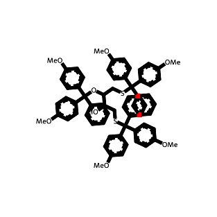 COc1ccc(C(OC(CSC(c2ccccc2)(c2ccc(OC)cc2)c2ccc(OC)cc2)C(O)CSC(c2ccccc2)(c2ccc(OC)cc2)c2ccc(OC)cc2)(c2ccccc2)c2ccc(OC)cc2)cc1